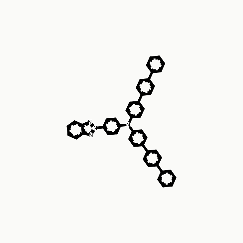 c1ccc(-c2ccc(-c3ccc(N(c4ccc(-c5ccc(-c6ccccc6)cc5)cc4)c4ccc(-n5nc6ccccc6n5)cc4)cc3)cc2)cc1